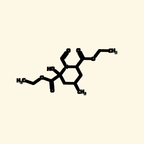 CCOC(=O)C1CC(C)CC(O)(C(=O)OCC)N1C=O